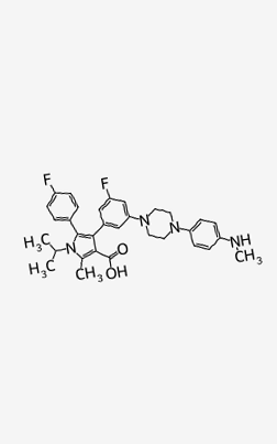 CNc1ccc(N2CCN(c3cc(F)cc(-c4c(C(=O)O)c(C)n(C(C)C)c4-c4ccc(F)cc4)c3)CC2)cc1